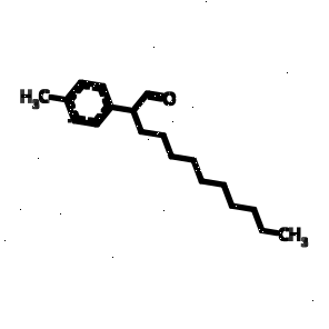 CCCCCCCCCCC(C=O)c1c[c]c(C)cc1